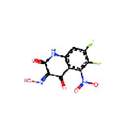 O=C1Nc2cc(F)c(F)c([N+](=O)[O-])c2C(=O)C1=NO